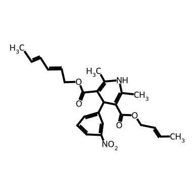 C/C=C/C=C/COC(=O)C1=C(C)NC(C)=C(C(=O)OC/C=C/C)C1c1cccc([N+](=O)[O-])c1